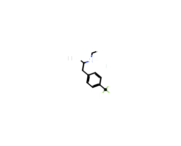 CCNC(C)Cc1ccc(C(F)(F)F)cc1.Cl